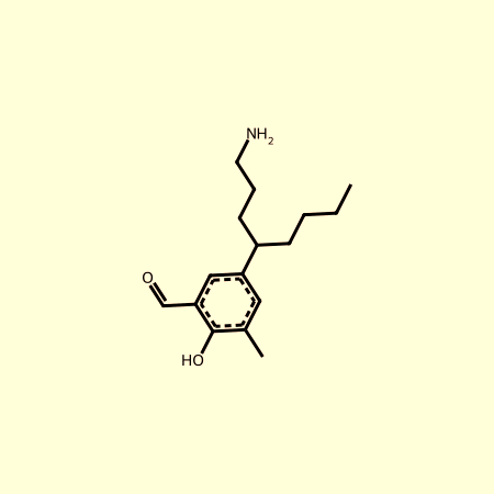 CCCCC(CCCN)c1cc(C)c(O)c(C=O)c1